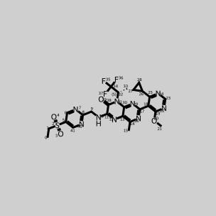 CCS(=O)(=O)c1cnc(CNc2nc3c(C)nc(-c4c(OC)ncnc4C4CC4)nc3n([C@@H](C)C(F)(F)F)c2=O)nc1